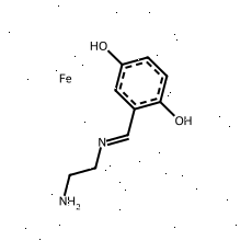 NCCN=Cc1cc(O)ccc1O.[Fe]